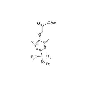 CCOC(c1cc(C)c(OCC(=O)OC)c(C)c1)(C(F)(F)F)C(F)(F)F